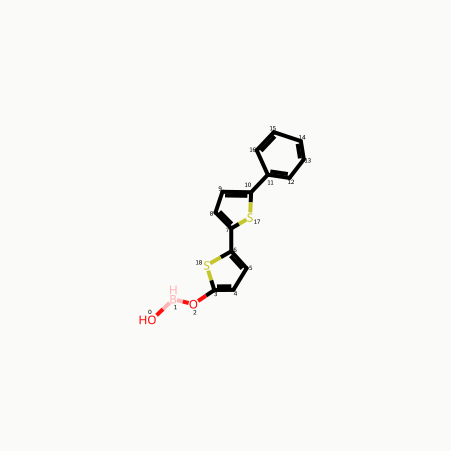 OBOc1ccc(-c2ccc(-c3ccccc3)s2)s1